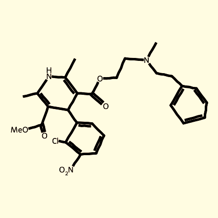 COC(=O)C1=C(C)NC(C)=C(C(=O)OCCN(C)CCc2ccccc2)C1c1cccc([N+](=O)[O-])c1Cl